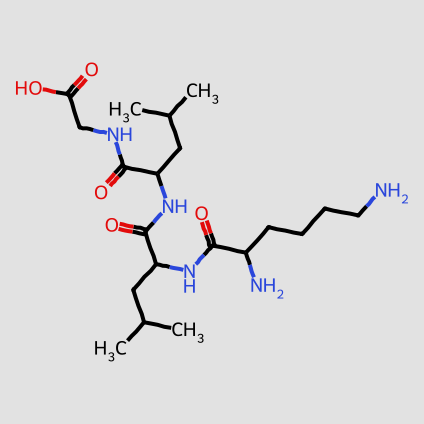 CC(C)CC(NC(=O)C(N)CCCCN)C(=O)NC(CC(C)C)C(=O)NCC(=O)O